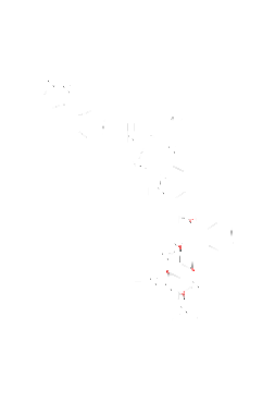 Cn1nccc1-c1ccc(CNC(=O)[C@@H]2C[C@@H](O)CN2C(=O)[C@@H](NC(=O)[C@H]2CC[C@H](c3cnc(N4C5CCC4CN(c4cc(-c6ccccc6O)nnc4N)C5)nc3)CC2)C(C)(C)C)cc1